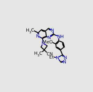 CCn1cnnc1-c1ccc(Nc2ncc3cc(C)nc(N4CC(C)(C#N)C4)c3n2)c(OC)c1